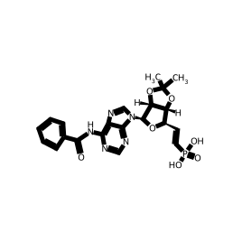 CC1(C)O[C@@H]2[C@H](O1)[C@@H](C=CP(=O)(O)O)O[C@H]2n1cnc2c(NC(=O)c3ccccc3)ncnc21